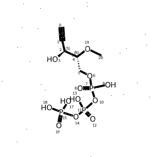 C#C[C@H](O)[C@@H](COP(=O)(O)OP(=O)(O)OP(=O)(O)O)OC